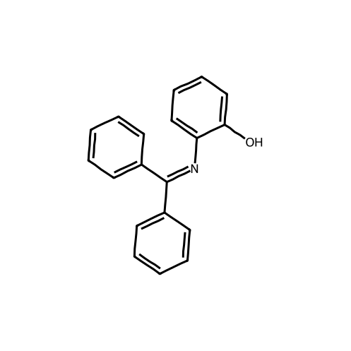 Oc1ccccc1N=C(c1ccccc1)c1ccccc1